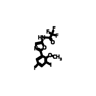 COc1c(I)cc(I)cc1-c1ncc(NC(=O)C(F)(F)F)o1